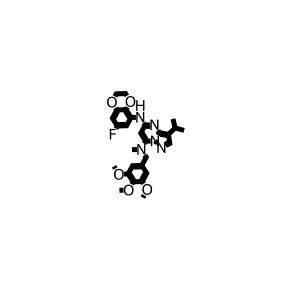 COc1cc(CN(C)c2cc(Nc3cc(F)cc4c3OCCO4)nc3c(C(C)C)cnn23)cc(OC)c1OC